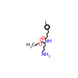 C=CCOC(=O)[C@H](CCCCN)NC(=O)CCCc1ccc(I)cc1